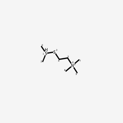 C[SH](C)SCC[N+](C)(C)C